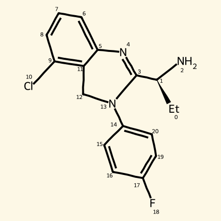 CC[C@H](N)C1=Nc2cccc(Cl)c2CN1c1ccc(F)cc1